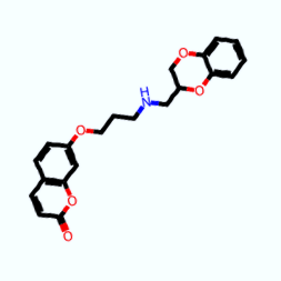 O=c1ccc2ccc(OCCCNCC3COc4ccccc4O3)cc2o1